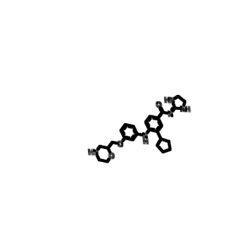 O=C(N=C1NCCN1)c1ccc(Nc2cccc(OCC3CNCCO3)c2)c(C2CCCC2)c1